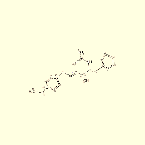 BC(=O)N[C@H](Cc1ccccc1)[C@H](O)/C=C/Cc1ccc(OC)cc1